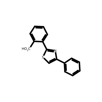 O=C(O)c1ccccc1-c1nc(-c2ccccc2)cs1